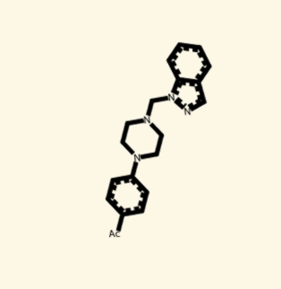 CC(=O)c1ccc(N2CCN(Cn3ncc4ccccc43)CC2)cc1